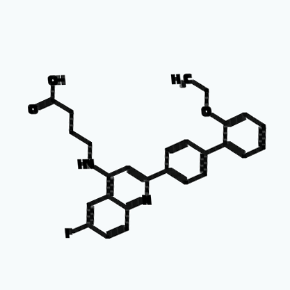 CCOc1ccccc1-c1ccc(-c2cc(NCCCC(=O)O)c3cc(F)ccc3n2)cc1